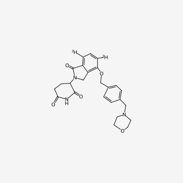 [2H]c1cc([2H])c2c(c1OCc1ccc(CN3CCOCC3)cc1)CN(C1CCC(=O)NC1=O)C2=O